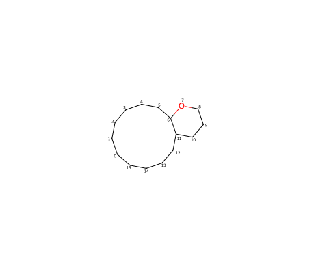 C1CCCCCC2OCCCC2CCCC1